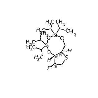 CC(C)[Si]1(C(C)C)OC[C@H]2SC[C@@H](F)[C@@H]2O[Si](C(C)C)(C(C)C)O1